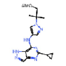 COCC(C)(C)n1cc(Nc2nc(C3CC3)nc3cn[nH]c23)cn1